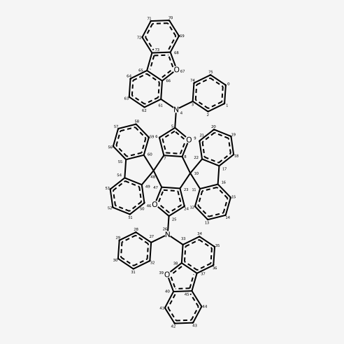 c1ccc(N(c2cc3c(o2)C2(c4ccccc4-c4ccccc42)c2cc(N(c4ccccc4)c4cccc5c4oc4ccccc45)oc2C32c3ccccc3-c3ccccc32)c2cccc3c2oc2ccccc23)cc1